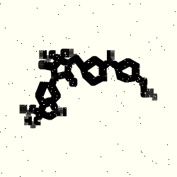 COc1ccc(Nc2cc(CN3C(=O)N(c4ccc5c(c4)NCC5(C)C)C(=O)C3(C)C)ccn2)cc1